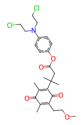 COCCC1=C(C)C(=O)C(C)=C(C(C)(C)CC(=O)Oc2ccc(N(CCCl)CCCl)cc2)C1=O